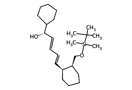 CC(C)(C)[Si](C)(C)OC[C@H]1CCCC[C@H]1/C=C/C=C/[C@H](O)C1CCCCC1